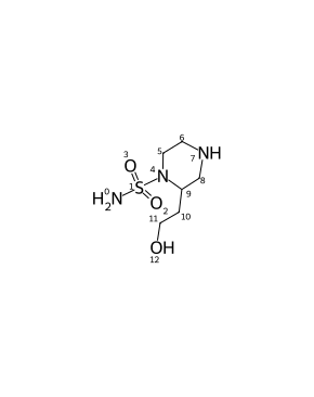 NS(=O)(=O)N1CCNCC1CCO